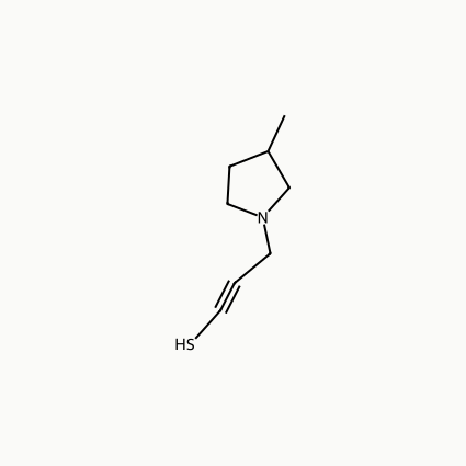 CC1CCN(CC#CS)C1